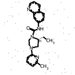 CC[C@@H]1CN(c2cccc(C)n2)CCN1C(=O)Nc1ccc2cccnc2c1